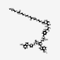 CNOCCOCC(=O)NCCOCCOCC(=O)NCCOCCOCC(=O)N[C@H](C(=O)N[C@@H](C)C(=O)Nc1ccc(CSP(=O)(O)OC[C@H]2O[C@@H](n3cnc4c(N)ncnc43)C[C@@H]2OP(=O)(O)OC[C@@H]2CC[C@H](n3cnc4c(O)ncnc43)O2)cc1)C(C)C